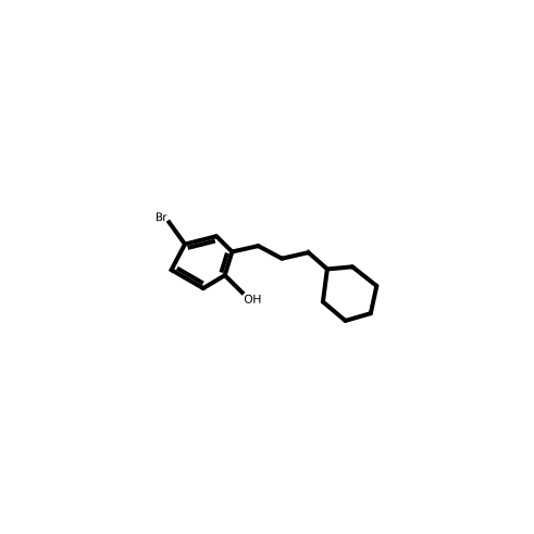 Oc1ccc(Br)cc1CC[CH]C1CCCCC1